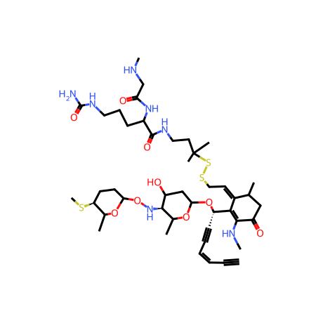 C#C/C=C\C#C[C@H](OC1CC(O)[C@H](NOC2CC[C@H](SC)C(C)O2)C(C)O1)C1=C(NC)C(=O)CC(C)/C1=C/CSSC(C)(C)CCNC(=O)C(CCCNC(N)=O)NC(=O)CNC